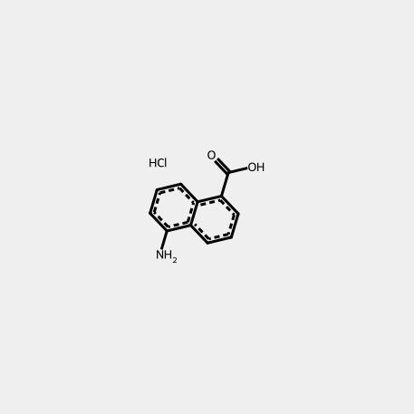 Cl.Nc1cccc2c(C(=O)O)cccc12